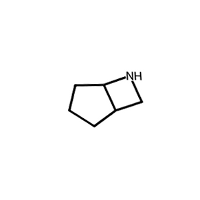 C1CC2CNC2C1